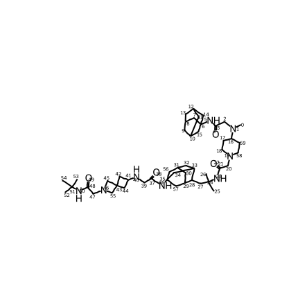 CN(CC(=O)NC12CC3CC(CC(C3)C1)C2)C1CCN(CC(=O)NC(C)(C)CC2C3CC4CC2CC(NC(=O)CNC2CC5(C2)CN(CC(=O)NC(C)(C)C)C5)(C4)C3)CC1